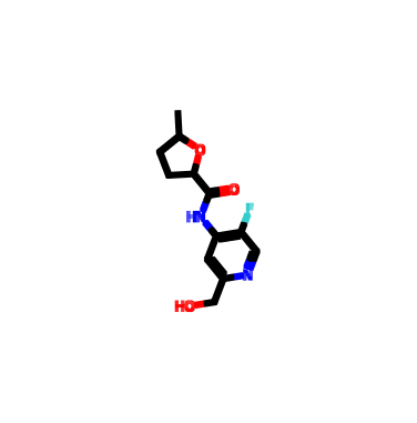 CC1CCC(C(=O)Nc2cc(CO)ncc2F)O1